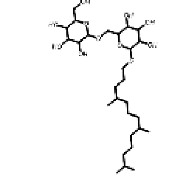 CC(C)CCCC(C)CCCC(C)CCCOC1OC(COC2OC(CO)C(O)C(O)C2O)C(O)C(O)C1O